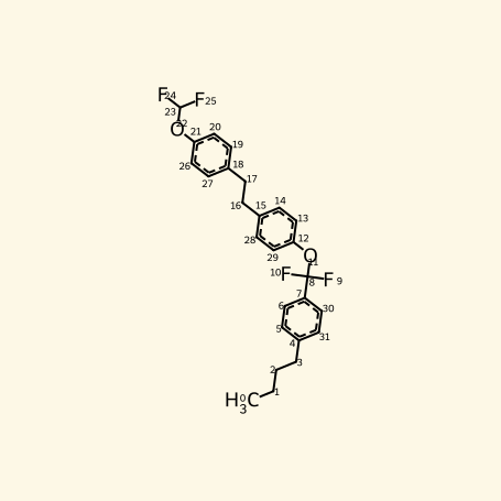 CCCCc1ccc(C(F)(F)Oc2ccc(CCc3ccc(OC(F)F)cc3)cc2)cc1